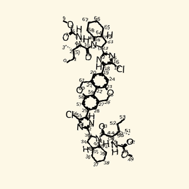 CC[C@H](C)[C@H](NC(=O)OC)C(=O)N1[C@H](c2nc(Cl)c(-c3cc4c5c(c3)OCc3cc(-c6[nH]c([C@@H]7C[C@@H]8CCCC[C@@H]8N7C(=O)[C@@H](NC(=O)OC)[C@@H](C)CC)nc6Cl)cc(c3-5)OC4)[nH]2)C[C@@H]2CCCC[C@@H]21